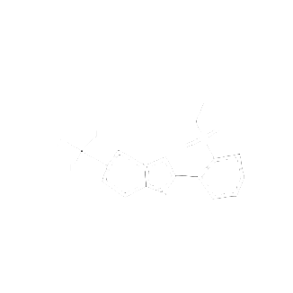 CCS(=O)(=O)c1ccccc1-c1cn2cc(C(C)(F)F)ccc2n1